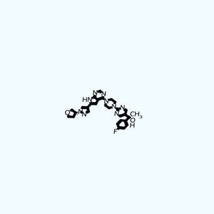 CC(O)(c1ccc(F)cc1)c1cnc(N2CCN(c3ncnc4[nH]c(-c5cnn([C@@H]6CCOC6)c5)cc34)CC2)nc1